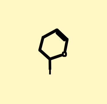 IC1CCC=CO1